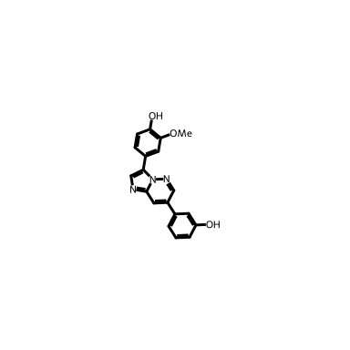 COc1cc(-c2cnc3cc(-c4cccc(O)c4)cnn23)ccc1O